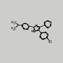 CC(C)c1ccc(-c2nc(-c3ccncc3)c(-c3ccc(Cl)cc3)[nH]2)cc1